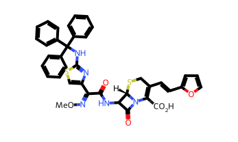 CON=C(C(=O)NC1C(=O)N2C(C(=O)O)=C(C=Cc3ccco3)CS[C@@H]12)c1csc(NC(c2ccccc2)(c2ccccc2)c2ccccc2)n1